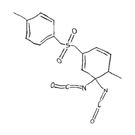 Cc1ccc(S(=O)(=O)C2=CC(N=C=O)(N=C=O)C(C)C=C2)cc1